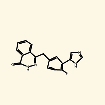 O=c1[nH]nc(Cc2ccc(F)c(-c3cnc[nH]3)c2)c2ccccc12